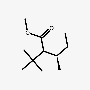 CC[C@@H](C)C(C(=O)OC)C(C)(C)C